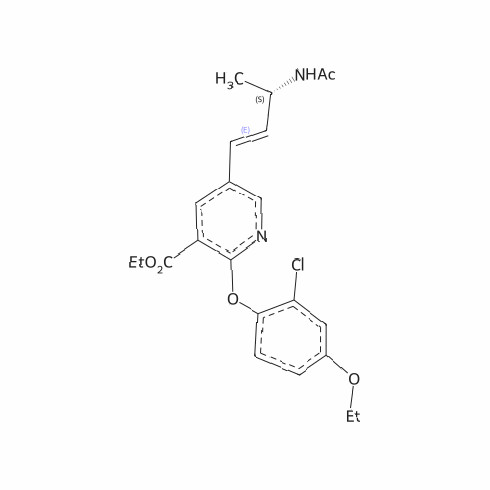 CCOC(=O)c1cc(/C=C/[C@H](C)NC(C)=O)cnc1Oc1ccc(OCC)cc1Cl